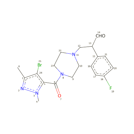 Cc1nn(C)c(C(=O)N2CCN(CC(C=O)c3ccc(F)cc3)CC2)c1Br